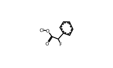 O=C(OCl)C(F)c1ccccc1